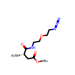 CC(=O)N[C@@H](CC(=O)OC(C)(C)C)C(=O)NCCOCCN=[N+]=[N-]